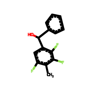 Cc1c(F)cc(C(O)c2ccccc2)c(F)c1F